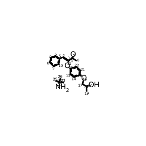 CC(=O)C(=Cc1ccccc1)Oc1ccc(OCC(C)O)cc1.CC(C)(C)N